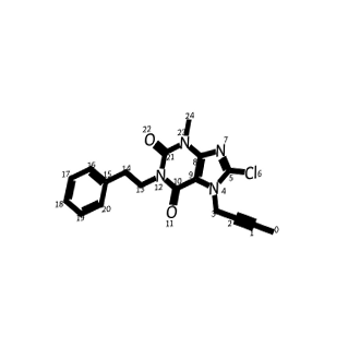 CC#CCn1c(Cl)nc2c1c(=O)n(CCc1ccccc1)c(=O)n2C